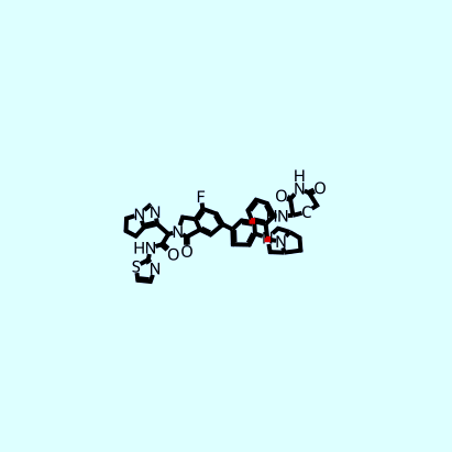 O=C1CCC(Nc2ccccc2CN2C3CCC2CN(c2ccc(-c4cc(F)c5c(c4)C(=O)N(C(C(=O)Nc4nccs4)c4ncn6c4CCC6)C5)cc2)C3)C(=O)N1